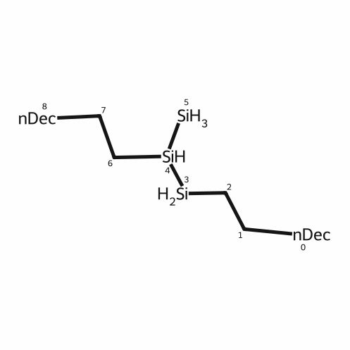 CCCCCCCCCCCC[SiH2][SiH]([SiH3])CCCCCCCCCCCC